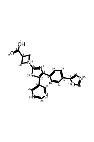 O=C(O)C1CN(c2nc(-c3ccc(-c4cnco4)cc3)c(-c3cncnc3)s2)C1